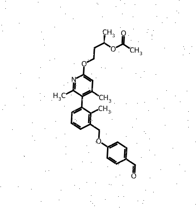 CC(=O)O[C@H](C)CCOc1cc(C)c(-c2cccc(COc3ccc(C=O)cc3)c2C)c(C)n1